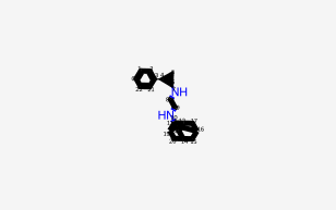 c1ccc([C@@H]2C[C@H]2NCCNC2C3CC4CC(C3)CC2C4)cc1